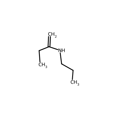 C=C(CC)NCCC